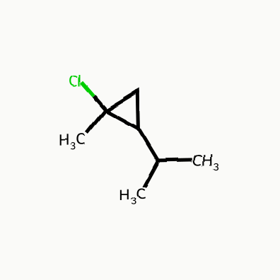 CC(C)C1CC1(C)Cl